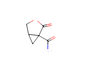 NC(=O)C12CC1COC2=O